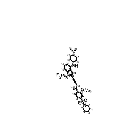 COc1cc(S(=O)(=O)N2CCCCC2)ccc1NCC#Cc1cc2c(N[C@H]3CC[C@@H](N(C)C)CC3)cccc2n1CC(F)(F)F